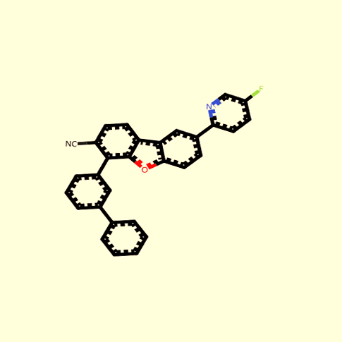 N#Cc1ccc2c(oc3ccc(-c4ccc(F)cn4)cc32)c1-c1cccc(-c2ccccc2)c1